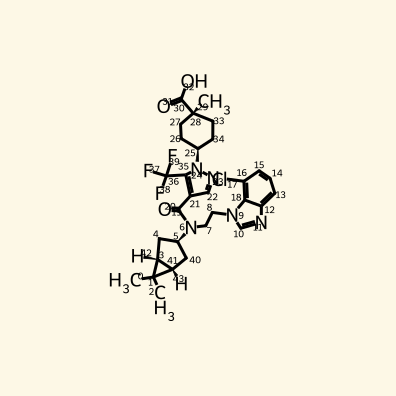 CC1(C)[C@@H]2C[C@@H](N(CCn3cnc4cccc(Cl)c43)C(=O)c3cnn([C@H]4CC[C@](C)(C(=O)O)CC4)c3C(F)(F)F)C[C@@H]21